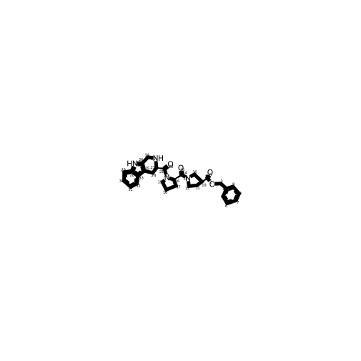 O=C(OCc1ccccc1)[C@H]1CCN(C(=O)[C@H]2CCCN2C(=O)[C@H]2Cc3c([nH]c4ccccc34)CN2)C1